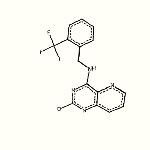 FC(F)(I)c1ccccc1CNc1nc(Cl)nc2cccnc12